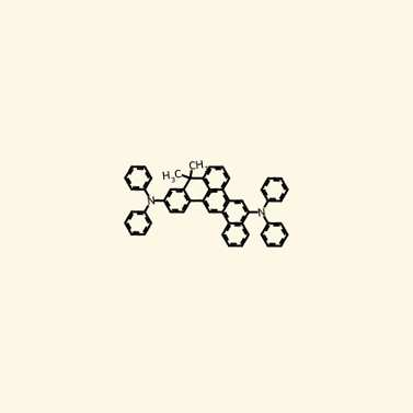 CC1(C)c2cc(N(c3ccccc3)c3ccccc3)ccc2-c2cc3c4ccccc4c(N(c4ccccc4)c4ccccc4)cc3c3cccc1c23